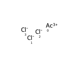 [Ac+3].[Cl-].[Cl-].[Cl-]